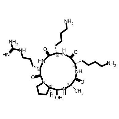 C[C@@H]1NC(O)[C@H]2CCCN2C(=O)[C@H](CCCNC(=N)N)NC(=O)[C@H](CCCCN)NC(=O)[C@H](CCCCN)NC1=O